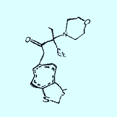 CCC(C)(C(=O)c1ccc2c(c1)SCS2)N1CCOCC1